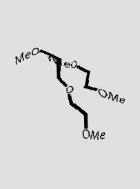 COCCOC.COCCOCCOC